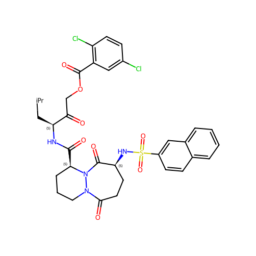 CC(C)C[C@H](NC(=O)[C@@H]1CCCN2C(=O)CC[C@H](NS(=O)(=O)c3ccc4ccccc4c3)C(=O)N12)C(=O)COC(=O)c1cc(Cl)ccc1Cl